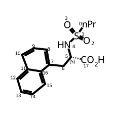 CCCS(=O)(=O)N[C@@H](Cc1cccc2ccccc12)C(=O)O